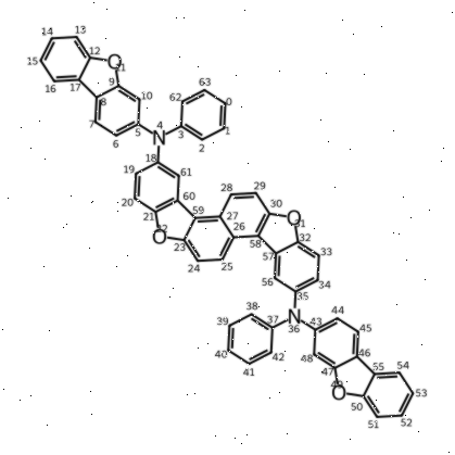 c1ccc(N(c2ccc3c(c2)oc2ccccc23)c2ccc3oc4ccc5c(ccc6oc7ccc(N(c8ccccc8)c8ccc9c(c8)oc8ccccc89)cc7c65)c4c3c2)cc1